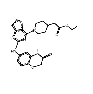 CCOC(=O)CC1CCN(c2nc(Nc3ccc4c(c3)NC(=O)CO4)nc3ccoc23)CC1